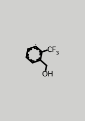 OCc1ccc[c]c1C(F)(F)F